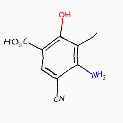 Cc1c(N)c(C#N)cc(C(=O)O)c1O